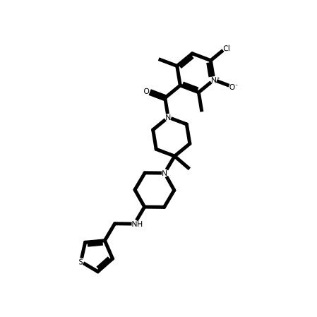 Cc1cc(Cl)[n+]([O-])c(C)c1C(=O)N1CCC(C)(N2CCC(NCc3ccsc3)CC2)CC1